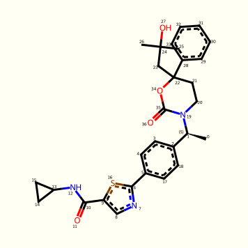 C[C@@H](c1ccc(-c2ncc(C(=O)NC3CC3)s2)cc1)N1CCC(CC(C)(C)O)(c2ccccc2)OC1=O